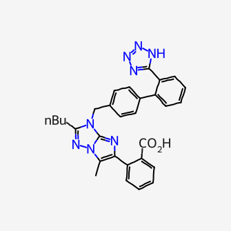 CCCCc1nn2c(C)c(-c3ccccc3C(=O)O)nc2n1Cc1ccc(-c2ccccc2-c2nnn[nH]2)cc1